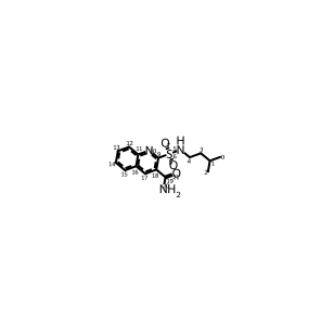 CC(C)CCNS(=O)(=O)c1nc2ccccc2cc1C(N)=O